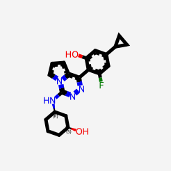 Oc1cc(C2CC2)cc(F)c1-c1nnc(N[C@@H]2CCC[C@H](O)C2)n2cccc12